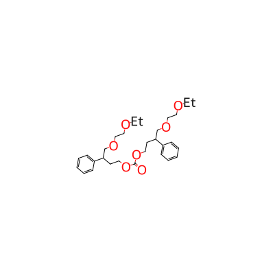 CCOCCOCC(CCOC(=O)OCCC(COCCOCC)c1ccccc1)c1ccccc1